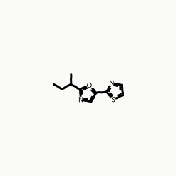 CCC(C)c1ncc(-c2nccs2)o1